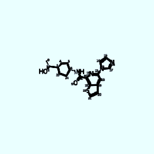 C[C@@H](O)[C@H]1CC[C@H](NC(=O)c2nc(-n3ccnc3)cc3ccsc23)CC1